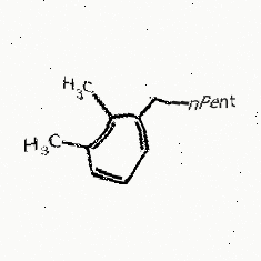 CCCCC[CH]c1cccc(C)c1C